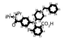 CC(C)N(C(=O)c1ccc(N(c2c(F)cccc2C(=O)O)C2CCN(Cc3ccccc3)CC2)cc1)C(C)C